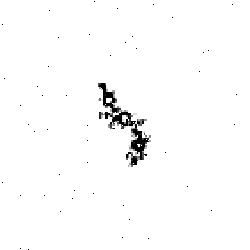 C#CC1CCC(C2=NC3(CCN([S+]([O-])CCc4ccc(NC(C)=O)cc4C)CC3)C(=O)N2)CC1